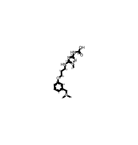 CN(C)Cc1cccc(OCCCNc2nc(NC(=O)O)nn2C)c1